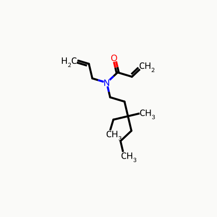 C=CCN(CCC(C)(CC)CCC)C(=O)C=C